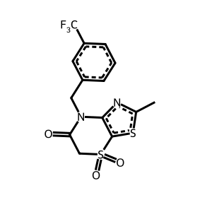 Cc1nc2c(s1)S(=O)(=O)CC(=O)N2Cc1cccc(C(F)(F)F)c1